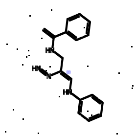 C=C(NC/C(=C/Nc1ccccc1)N=N)c1ccccc1